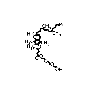 Cc1c(C)c2c(c(C)c1OC(=O)CCC(=O)OCCOCCOCCO)CCC(C)(CCCC(C)CCCC(C)CCCC(C)C)O2